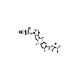 Cc1cc(C(C)N2Cc3c(ccnc3NC(=O)C(C)(C)O)C2=O)cnc1OCC(F)(F)C(F)F